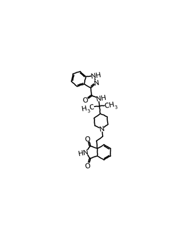 CC(C)(NC(=O)c1n[nH]c2ccccc12)C1CCN(CCC23C=CC=CC2C(=O)NC3=O)CC1